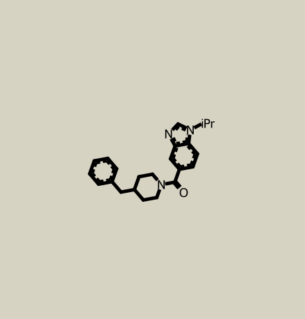 CC(C)n1cnc2cc(C(=O)N3CCC(Cc4ccccc4)CC3)ccc21